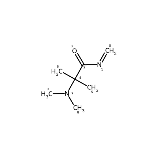 C=NC(=O)C(C)(C)N(C)C